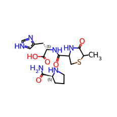 CC1SCC(C(=O)N[C@@H](Cc2c[nH]cn2)C(=O)O)NC1=O.NC(=O)[C@@H]1CCCN1